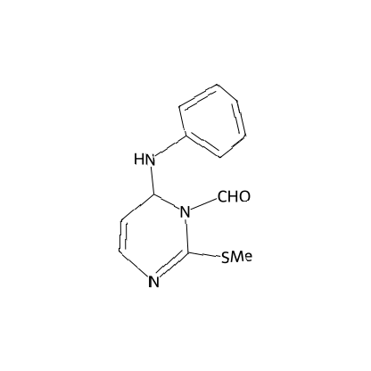 CSC1=NC=CC(Nc2ccccc2)N1C=O